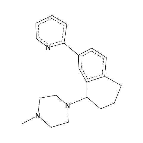 CN1CCN(C2CCCc3ccc(-c4ccccn4)cc32)CC1